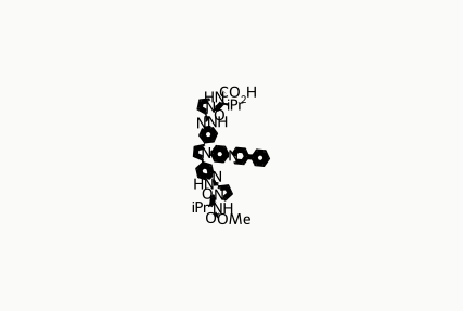 COC(=O)N[C@H](C(=O)N1CCC[C@H]1c1nc2cc([C@H]3CC[C@H](c4ccc5[nH]c([C@@H]6CCCN6C(=O)[C@@H](NC(=O)O)C(C)C)nc5c4)N3c3ccc(N4CCC(c5ccccc5)CC4)cc3)ccc2[nH]1)C(C)C